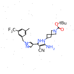 Cc1cc(Cn2cc(-c3nn(C4CC5(C4)CN(C(=O)OC(C)(C)C)C5)c(N)c3C#N)cn2)cc(C(F)(F)F)c1